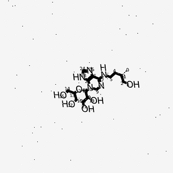 C[C@H](CO)CCNC1=NCN([C@H](OC(CO)CO)[C@@H](O)CO)c2[nH]cnc21